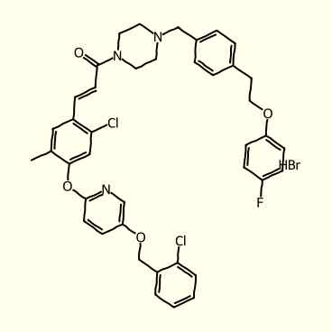 Br.Cc1cc(C=CC(=O)N2CCN(Cc3ccc(CCOc4ccc(F)cc4)cc3)CC2)c(Cl)cc1Oc1ccc(OCc2ccccc2Cl)cn1